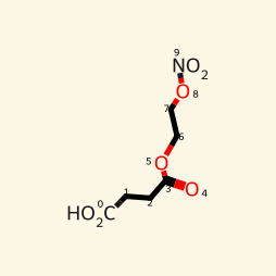 O=C(O)CCC(=O)OCCO[N+](=O)[O-]